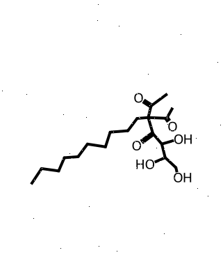 CCCCCCCCCCC(C(C)=O)(C(C)=O)C(=O)C(O)C(O)CO